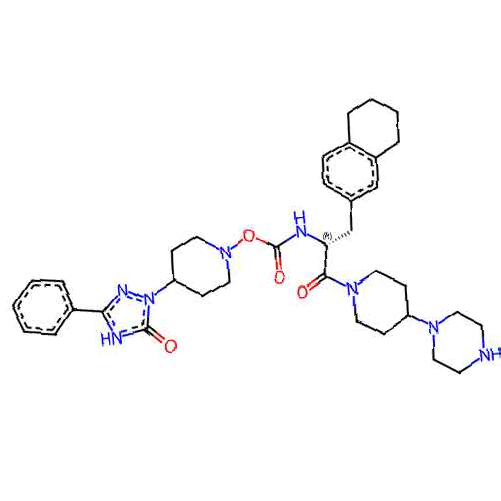 O=C(N[C@H](Cc1ccc2c(c1)CCCC2)C(=O)N1CCC(N2CCNCC2)CC1)ON1CCC(n2nc(-c3ccccc3)[nH]c2=O)CC1